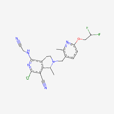 Cc1nc(OCC(F)F)ccc1CN1CCc2c(NCC#N)nc(Cl)c(C#N)c2C1C